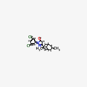 CC1CC2CC(C1)CC(C)(C1=NN(c3cc(Cl)cc(Cl)c3)C(=O)C1)C2